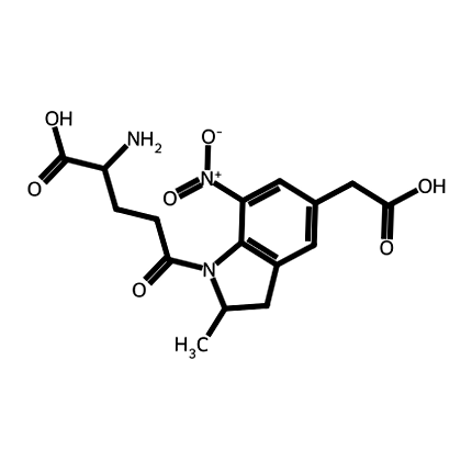 CC1Cc2cc(CC(=O)O)cc([N+](=O)[O-])c2N1C(=O)CCC(N)C(=O)O